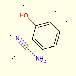 N#CN.Oc1ccccc1